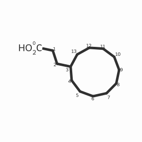 O=C(O)CCC1CCCCCCCCCC1